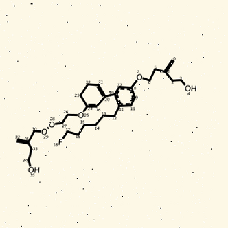 C=C(CCO)CCOc1ccc(CCCCCCF)c(C2=CCCC(OCCOOCC(=C)CCO)=C2)c1